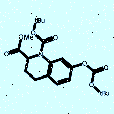 COC(=O)C1CCc2ccc(OC(=O)OC(C)(C)C)cc2N1C(=O)OC(C)(C)C